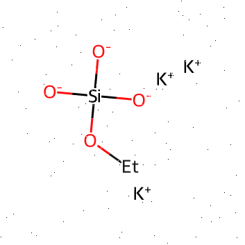 CCO[Si]([O-])([O-])[O-].[K+].[K+].[K+]